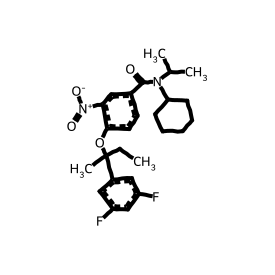 CCC(C)(Oc1ccc(C(=O)N(C(C)C)C2CCCCC2)cc1[N+](=O)[O-])c1cc(F)cc(F)c1